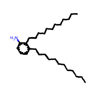 CCCCCCCCCCCCc1cccc(N)c1CCCCCCCCCCCC